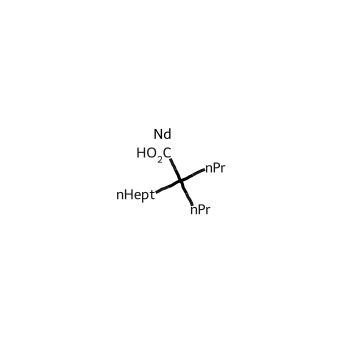 CCCCCCCC(CCC)(CCC)C(=O)O.[Nd]